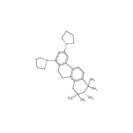 C[C@@H]1C(C)(C)Cc2c(ccc3c2CCc2c-3cc(N3CCCC3)cc2N2CCCC2)C1(C)C